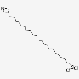 NCCCCCCCCCCCCCCCCCCCCCCCC[SiH](Cl)Cl